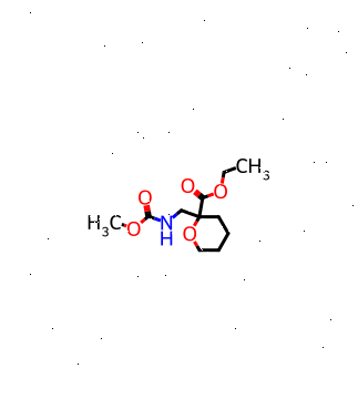 CCOC(=O)C1(CNC(=O)OC)CCCCO1